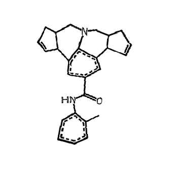 Cc1ccccc1NC(=O)c1cc2c3c(c1)C1C=CCC1CN3CC1CC=CC21